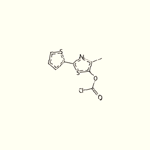 Cc1nc(-c2cccs2)sc1OC(=O)Cl